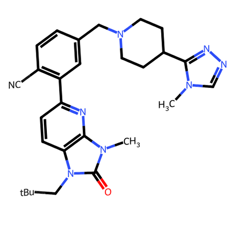 Cn1cnnc1C1CCN(Cc2ccc(C#N)c(-c3ccc4c(n3)n(C)c(=O)n4CC(C)(C)C)c2)CC1